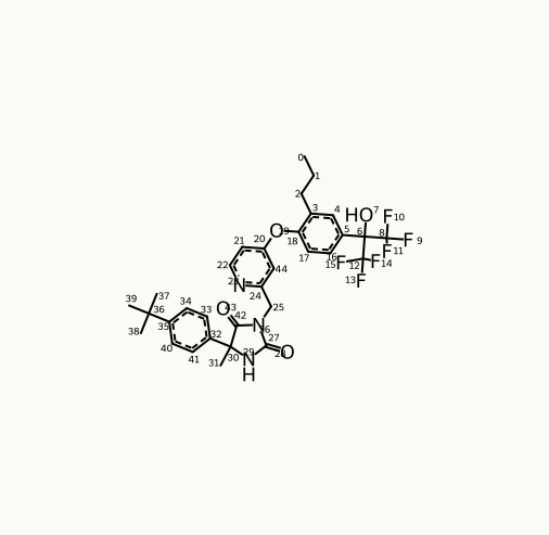 CCCc1cc(C(O)(C(F)(F)F)C(F)(F)F)ccc1Oc1ccnc(CN2C(=O)NC(C)(c3ccc(C(C)(C)C)cc3)C2=O)c1